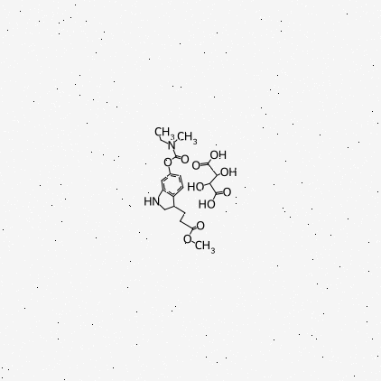 CCN(C)C(=O)Oc1ccc2c(c1)NCC2CCC(=O)OC.O=C(O)C(O)C(O)C(=O)O